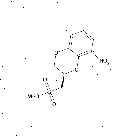 COS(=O)(=O)C[C@H]1COc2cccc([N+](=O)[O-])c2O1